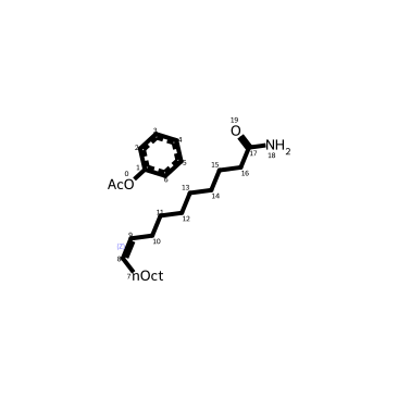 CC(=O)Oc1ccccc1.CCCCCCCC/C=C\CCCCCCCC(N)=O